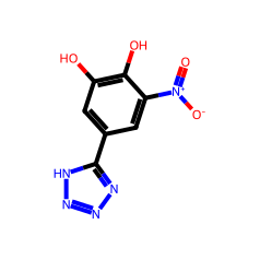 O=[N+]([O-])c1cc(-c2nnn[nH]2)cc(O)c1O